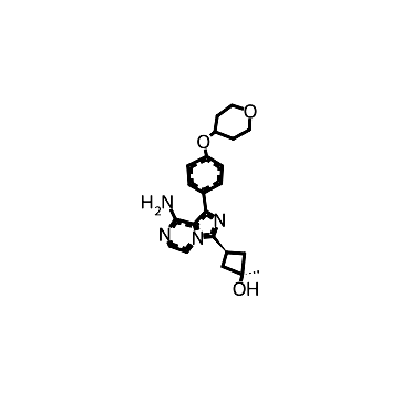 C[C@]1(O)C[C@@H](c2nc(-c3ccc(OC4CCOCC4)cc3)c3c(N)nccn32)C1